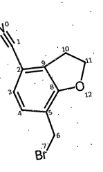 N#Cc1ccc(CBr)c2c1CCO2